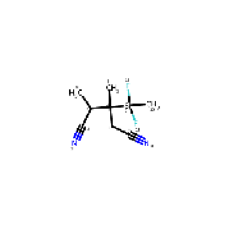 CC(C#N)C(C)(CC#N)[Si](C)(F)F